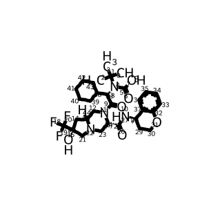 CC(C)(C)N(C(=O)O)[C@H](C(=O)N1C[C@H]2C[C@](O)(C(F)(F)F)CN2C[C@H]1C(=O)N[C@@H]1CCOc2ccccc21)C1CCCCC1